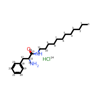 CCCCCCCCCCCCNC(=O)[C@@H](N)Cc1ccccc1.Cl